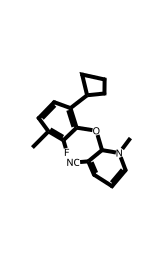 Cc1ccc(C2CCC2)c(OC2C(C#N)=CC=CN2C)c1F